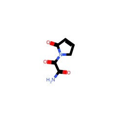 NC(=O)C(=O)N1CC=CC1=O